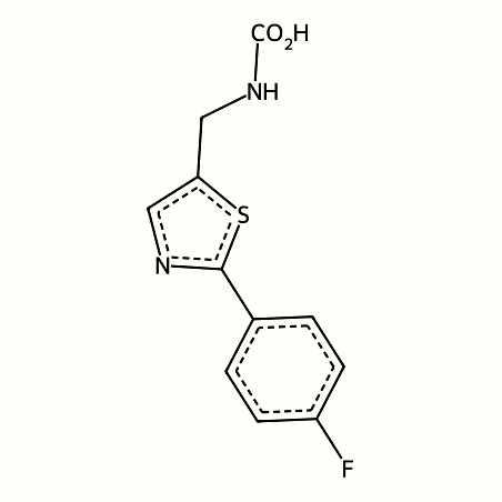 O=C(O)NCc1cnc(-c2ccc(F)cc2)s1